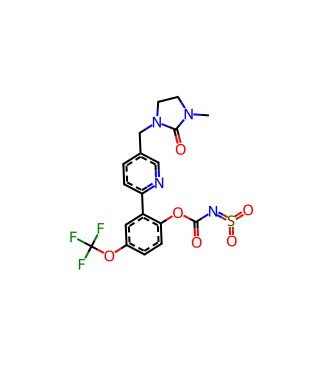 CN1CCN(Cc2ccc(-c3cc(OC(F)(F)F)ccc3OC(=O)N=S(=O)=O)nc2)C1=O